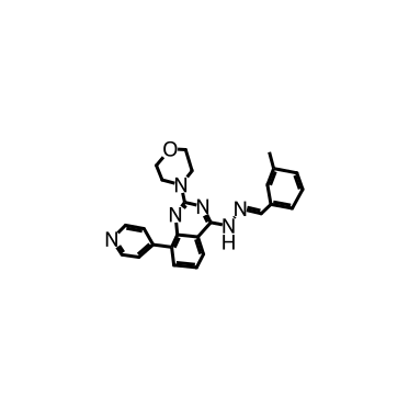 Cc1cccc(C=NNc2nc(N3CCOCC3)nc3c(-c4ccncc4)cccc23)c1